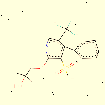 CC(C)(O)COc1ncc(C(F)(F)F)c(-c2ccccc2)c1S(C)(=O)=O